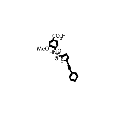 COc1cc(C(=O)O)ccc1NS(=O)(=O)c1ccc(C#Cc2ccccc2)s1